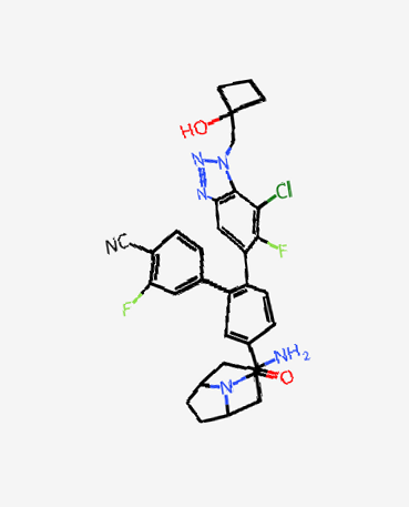 N#Cc1ccc(-c2cc(C(=O)N3C4CCC3CC(N)C4)ccc2-c2cc3nnn(CC4(O)CCC4)c3c(Cl)c2F)cc1F